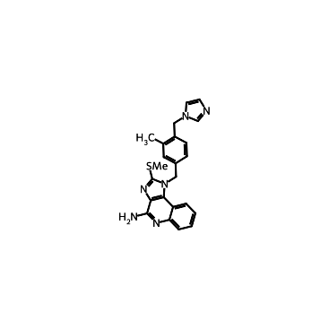 CSc1nc2c(N)nc3ccccc3c2n1Cc1ccc(Cn2ccnc2)c(C)c1